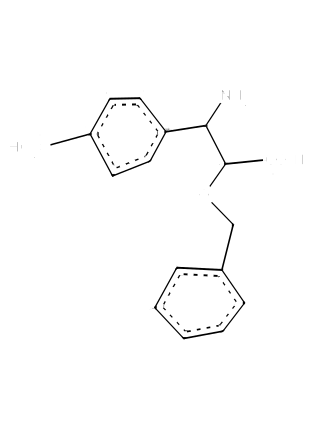 NC(c1ccc(C(=O)O)cc1)C(OCc1ccccc1)C(=O)O